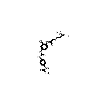 CC(=O)Nc1ccc(NC(=S)Nc2ccc(NC(=O)CSCCN(C)C)c(Cl)c2)cc1